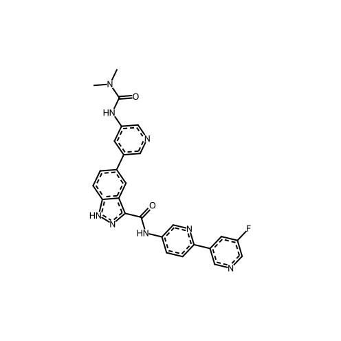 CN(C)C(=O)Nc1cncc(-c2ccc3[nH]nc(C(=O)Nc4ccc(-c5cncc(F)c5)nc4)c3c2)c1